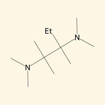 CCC(C)(N(C)C)C(C)(C)N(C)C